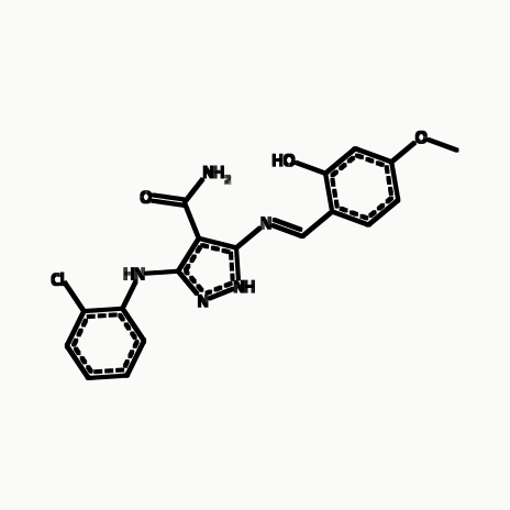 COc1ccc(/C=N/c2[nH]nc(Nc3ccccc3Cl)c2C(N)=O)c(O)c1